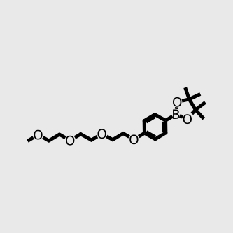 COCCOCCOCCOc1ccc(B2OC(C)(C)C(C)(C)O2)cc1